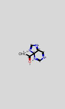 O=CC(=O)C12N=CN=CC1=NC=N2